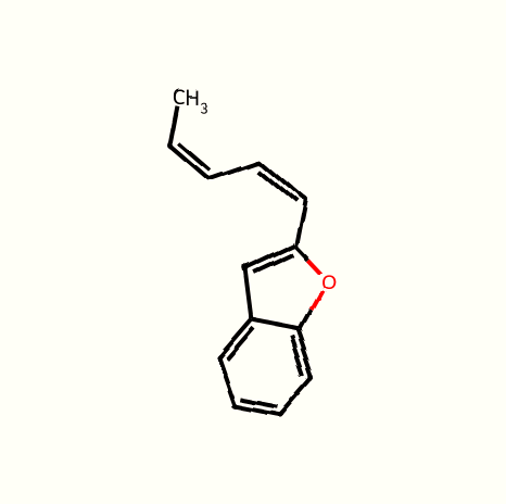 C/C=C\C=C/c1cc2ccccc2o1